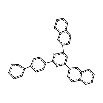 c1cncc(-c2ccc(-c3nc(-c4ccc5ccccc5c4)cc(-c4ccc5ccccc5c4)n3)cc2)c1